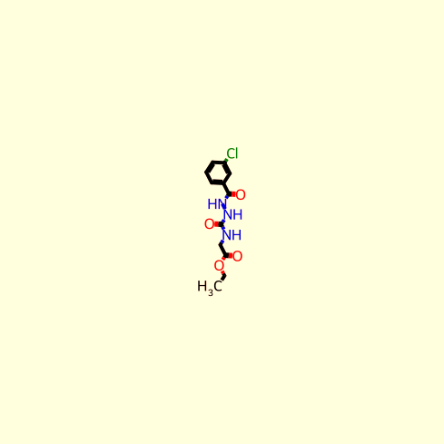 CCOC(=O)CNC(=O)NNC(=O)c1cccc(Cl)c1